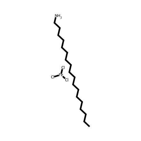 CCCCCCCCCCCCCCCCCCN.[Cl][Fe]([Cl])[Cl]